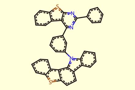 c1ccc(-c2nc(-c3cccc(-n4c5ccccc5c5ccc6sc7ccccc7c6c54)c3)c3c(n2)sc2ccccc23)cc1